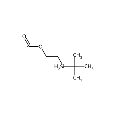 CC(C)(C)[SiH2]CCO[C]=O